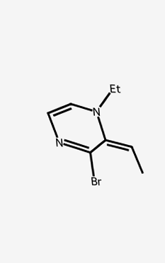 CC=C1C(Br)=NC=CN1CC